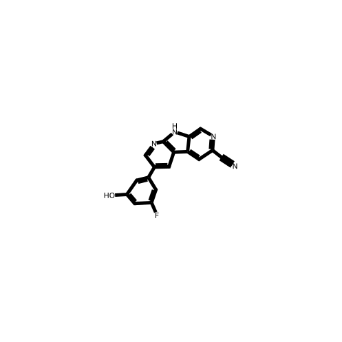 N#Cc1cc2c(cn1)[nH]c1ncc(-c3cc(O)cc(F)c3)cc12